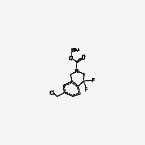 CC(C)(C)OC(=O)N1Cc2cc(CCl)ccc2C(F)(F)C1